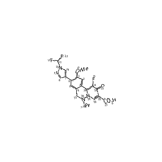 COc1cc2c(cc1-c1cnn(C(F)F)c1)CN(C(C)C)n1cc(C(=O)O)c(=O)c(F)c1-2